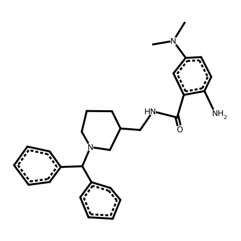 CN(C)c1ccc(N)c(C(=O)NCC2CCCN(C(c3ccccc3)c3ccccc3)C2)c1